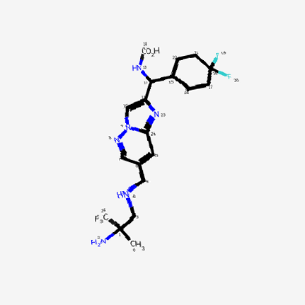 CC(N)(CNCc1cnn2cc(C(NC(=O)O)C3CCC(F)(F)CC3)nc2c1)C(F)(F)F